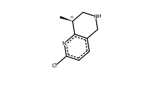 C[C@H]1CNCc2ccc(Cl)nc21